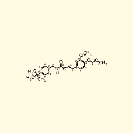 COCOc1ccc(CSOC(=O)NCc2ccc(C(C)(C)C)cc2)cc1OC